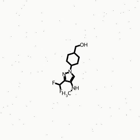 CNc1cn(C2CCC(CO)CC2)nc1C(F)F